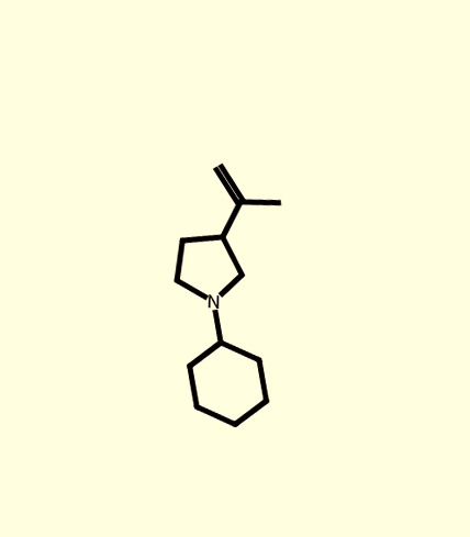 C=C(C)C1CCN(C2CCCCC2)C1